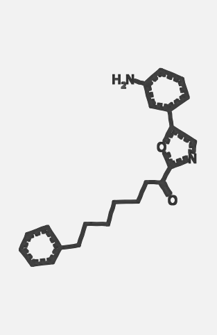 Nc1cccc(-c2cnc(C(=O)CCCCCCc3ccccc3)o2)c1